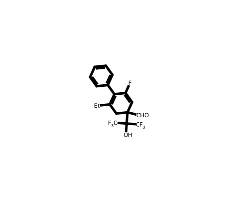 CCC1=C(c2ccccc2)C(F)=CC(C=O)(C(O)(C(F)(F)F)C(F)(F)F)C1